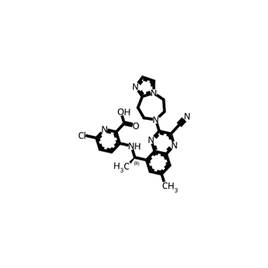 Cc1cc([C@@H](C)Nc2ccc(Cl)nc2C(=O)O)c2nc(N3CCc4nccn4CC3)c(C#N)nc2c1